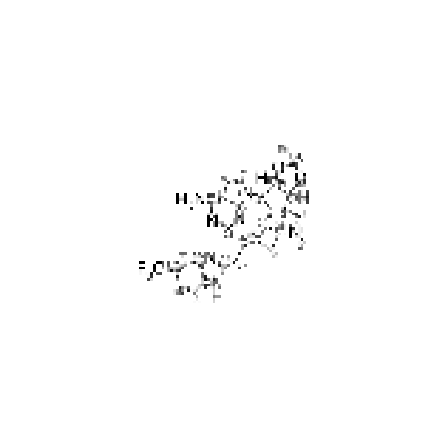 CN(C[C@H]1C[C@@H](n2ccc3c(N)ncnc32)[C@@H]2OC(C)(C)O[C@H]12)[C@H]1C[C@H](CCc2nc3cc(C(F)(F)F)ccc3[nH]2)C1